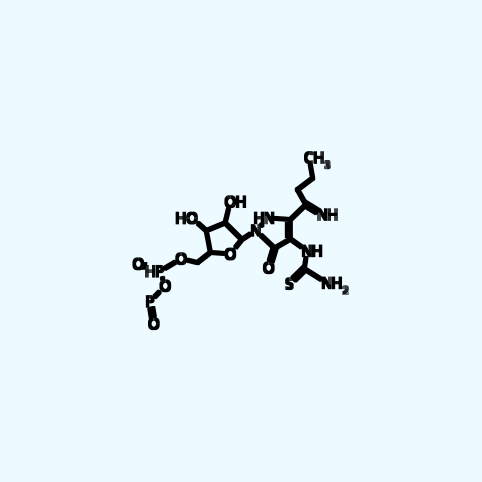 CCCC(=N)c1[nH]n(C2OC(CO[PH](=O)OP=O)C(O)C2O)c(=O)c1NC(N)=S